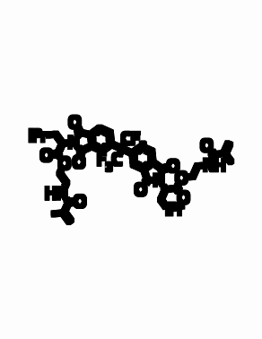 C=C(C)C(=O)NCCOC(=O)C(CC(C)C)N1C(=O)c2ccc(C(c3ccc4c(c3)C(=O)N(C(CC(C)C)C(=O)OCCNC(=O)C(=C)C)C4=O)(C(F)(F)F)C(F)(F)F)cc2C1=O